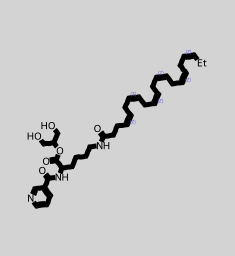 CC/C=C\C/C=C\C/C=C\C/C=C\C/C=C\C/C=C\CCC(=O)NCCCCC(NC(=O)c1cccnc1)C(=O)OC(CO)CO